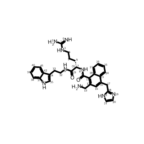 N=C(N)NCCC[C@H](NC(=O)c1c(CN)cc(Cc2ncc[nH]2)c2ccccc12)C(=O)NCCc1c[nH]c2ccccc12